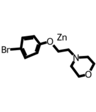 Brc1ccc(OCCN2CCOCC2)cc1.[Zn]